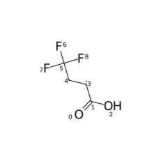 O=C(O)[CH]CC(F)(F)F